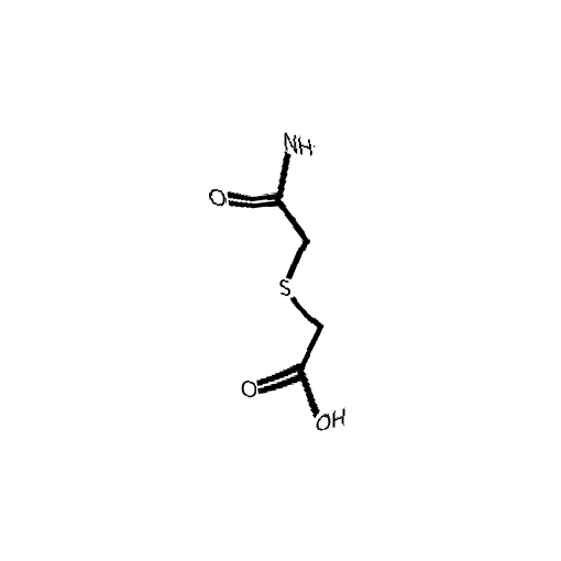 [NH]C(=O)CSCC(=O)O